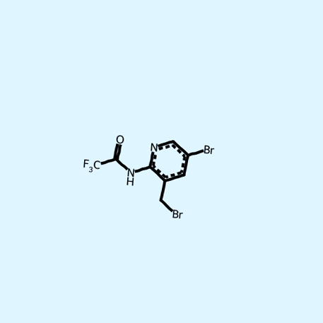 O=C(Nc1ncc(Br)cc1CBr)C(F)(F)F